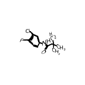 CC(C)(C)C(=O)Nc1ccc(F)c(Cl)c1